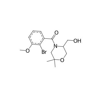 COc1cccc(C(=O)N2CC(C)(C)OCC2CO)c1Br